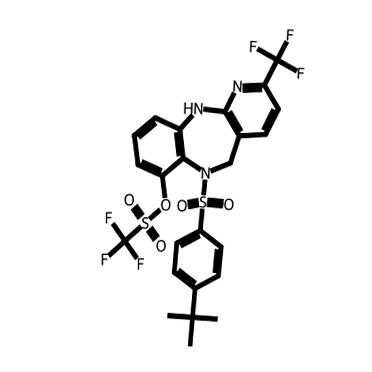 CC(C)(C)c1ccc(S(=O)(=O)N2Cc3ccc(C(F)(F)F)nc3Nc3cccc(OS(=O)(=O)C(F)(F)F)c32)cc1